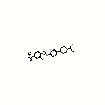 CS(=O)(=O)c1ccc(OCc2ccc(C3CCN(C(=O)O)CC3)cn2)c(F)c1